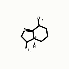 CC1CCC[C@@H]2C1=NCC2C